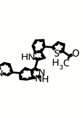 CC(=O)c1ccc(-c2cccc3[nH]c(-c4n[nH]c5ccc(-c6cccnc6)cc45)cc23)s1